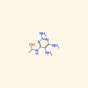 CC(O)Nc1nc(N)nc(N)c1N